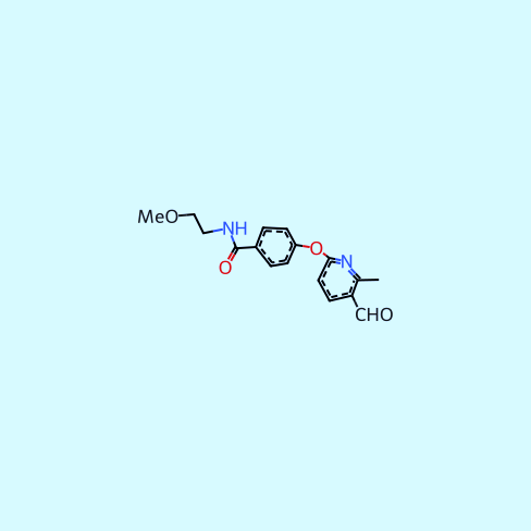 COCCNC(=O)c1ccc(Oc2ccc(C=O)c(C)n2)cc1